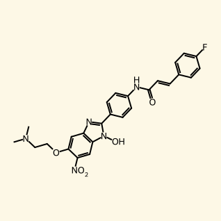 CN(C)CCOc1cc2nc(-c3ccc(NC(=O)/C=C/c4ccc(F)cc4)cc3)n(O)c2cc1[N+](=O)[O-]